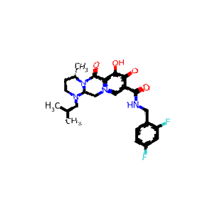 CC(C)CN1CC[C@H](C)N2C(=O)c3c(O)c(=O)c(C(=O)NCc4ccc(F)cc4F)cn3CC12